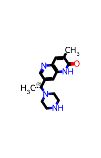 Cc1cc2ncc([C@@H](C)N3CCNCC3)cc2[nH]c1=O